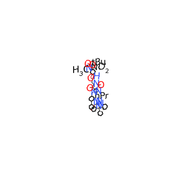 CCCc1nc2c(n1Cc1ccc(-c3ccccc3-c3nnnn3C(c3ccccc3)(c3ccccc3)c3ccccc3)cc1)C(=O)C(CCOc1ccc([N+](=O)[O-])c(N(C)C(=O)OC(C)(C)C)c1)NC2=O